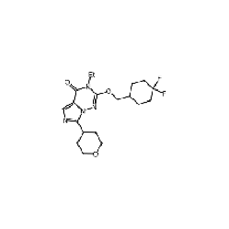 CCn1c(OCC2CCC(F)(F)CC2)nn2c(C3CCOCC3)ncc2c1=O